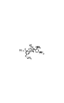 COc1ccc(CN2C(=O)CN(c3ccc(N)cc3N)S2(=O)=O)c(OC)c1